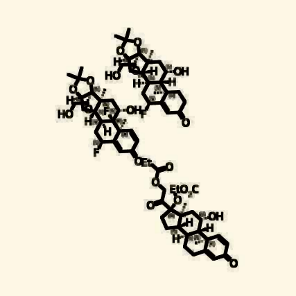 CC1(C)O[C@@H]2C[C@H]3[C@@H]4C[C@H](F)C5=CC(=O)C=C[C@]5(C)[C@@]4(F)[C@@H](O)C[C@]3(C)[C@]2(C(=O)CO)O1.CC1(C)O[C@@H]2C[C@H]3[C@@H]4C[C@H](F)C5=CC(=O)CC[C@]5(C)[C@H]4[C@@H](O)C[C@]3(C)[C@]2(C(=O)CO)O1.CCOC(=O)O[C@]1(C(=O)COC(=O)CC)CC[C@H]2[C@@H]3CCC4=CC(=O)C=C[C@]4(C)[C@H]3[C@@H](O)C[C@@]21C